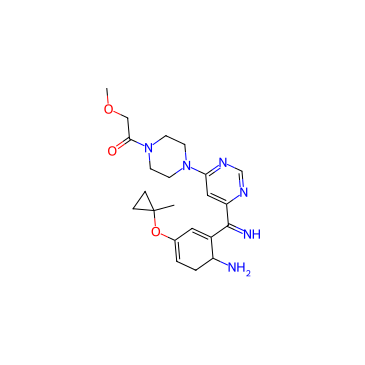 COCC(=O)N1CCN(c2cc(C(=N)C3=CC(OC4(C)CC4)=CCC3N)ncn2)CC1